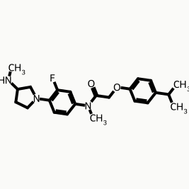 CNC1CCN(c2ccc(N(C)C(=O)COc3ccc(C(C)C)cc3)cc2F)C1